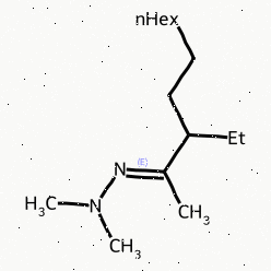 CCCCCCCCC(CC)/C(C)=N/N(C)C